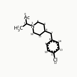 CC(=O)C(C)N1CCC(Cc2ccc(Cl)cc2)CC1